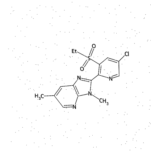 CCS(=O)(=O)c1cc(Cl)cnc1-c1nc2cc(C)cnc2n1C